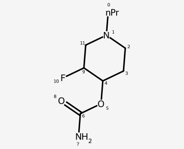 C[CH]CN1CCC(OC(N)=O)C(F)C1